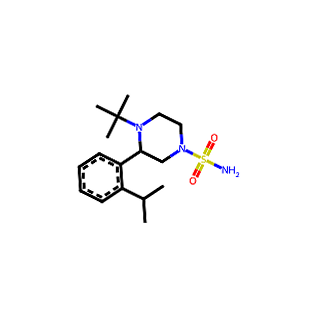 CC(C)c1ccccc1C1CN(S(N)(=O)=O)CCN1C(C)(C)C